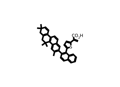 C=C(C(=O)O)c1ccc(-c2c(-c3cc4ccc5c(c4cc3C)C(C)(C)CC3=C5C=CC(C)(C)C3)ccc3ccccc23)s1